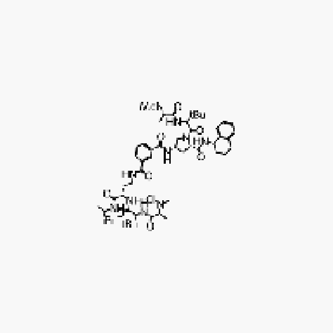 CN[C@@H](C)C(=O)N[C@H](C(=O)N1C[C@@H](NC(=O)c2cccc(C(=O)NCC[C@H](NC(=O)[C@@H](NC(=O)[C@H](C)N(C)Cl)C(C)(C)C)C(=O)N[C@H](C)C(C)C)c2)C[C@H]1C(=O)N[C@@H]1CCCc2ccccc21)C(C)(C)C